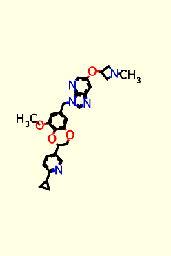 COc1cc(Cn2cnc3cc(OC4CN(C)C4)cnc32)cc2c1OC(c1ccc(C3CC3)nc1)CO2